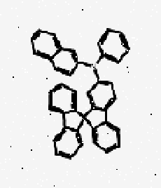 c1ccc(N(c2ccc3c(c2)C2(c4ccccc4-c4ccccc42)c2ccccc2-3)c2ccc3ccccc3c2)cc1